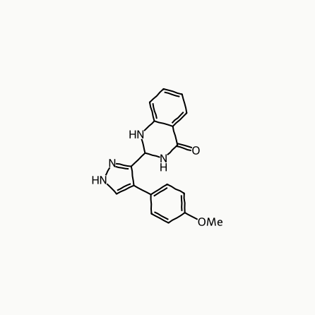 COc1ccc(-c2c[nH]nc2C2NC(=O)c3ccccc3N2)cc1